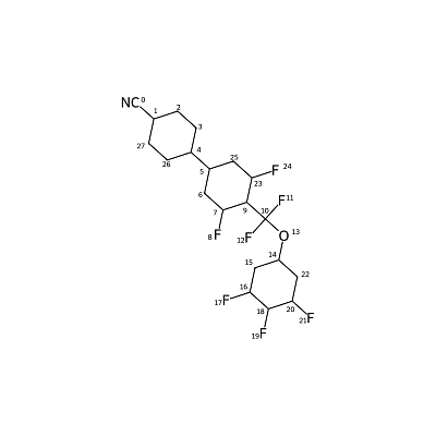 N#CC1CCC(C2CC(F)C(C(F)(F)OC3CC(F)C(F)C(F)C3)C(F)C2)CC1